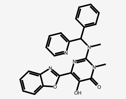 CN(c1nc(-c2nc3ccccc3o2)c(O)c(=O)n1C)C(c1ccccc1)c1ccccn1